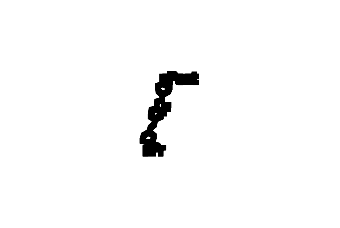 CCCCCC1CCC(CCc2ccc(CCC3CCC(CCC)CC3)cc2F)CC1